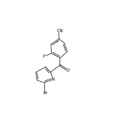 N#Cc1ccc(C(=O)c2cccc(Br)n2)c(F)c1